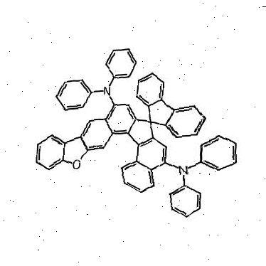 c1ccc(N(c2ccccc2)c2cc3c(c4ccccc24)-c2c(cc(N(c4ccccc4)c4ccccc4)c4cc5c(cc24)oc2ccccc25)C32c3ccccc3-c3ccccc32)cc1